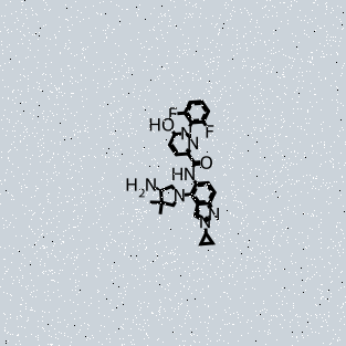 CC1(C)CN(c2c(NC(=O)C3=NN(c4c(F)cccc4F)C(O)C=C3)ccc3nn(C4CC4)cc23)C[C@@H]1N